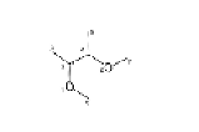 CO[C](C)C(C)OC